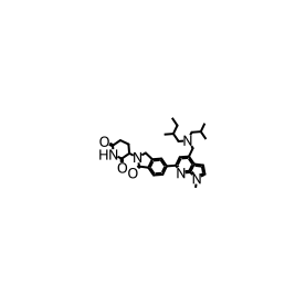 CCC(C)CN(Cc1cc(-c2ccc3c(c2)CN(C2CCC(=O)NC2=O)C3=O)nc2c1ccn2C)CC(C)C